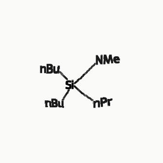 CCCC[Si](CCC)(CCCC)NC